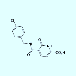 O=C(O)c1ccc(C(=O)NCc2ccc(Cl)cc2)c(=O)[nH]1